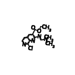 CCOC(=O)c1cc2ccnc(Cl)c2nc1N=CN(C)C